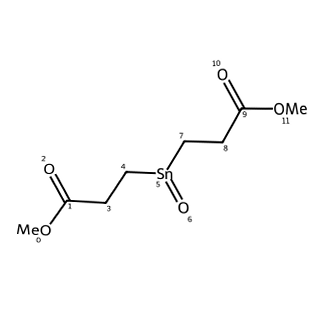 COC(=O)C[CH2][Sn](=[O])[CH2]CC(=O)OC